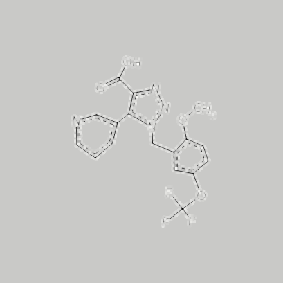 COc1ccc(OC(F)(F)F)cc1Cn1nnc(C(=O)O)c1-c1cccnc1